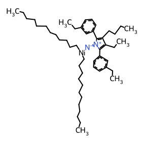 CCCCC1=C(c2cccc(CC)c2)[N+](=[N-])C(c2cccc(CC)c2)=C1CC.CCCCCCCCCCC[CH2][Ni][CH2]CCCCCCCCCCC